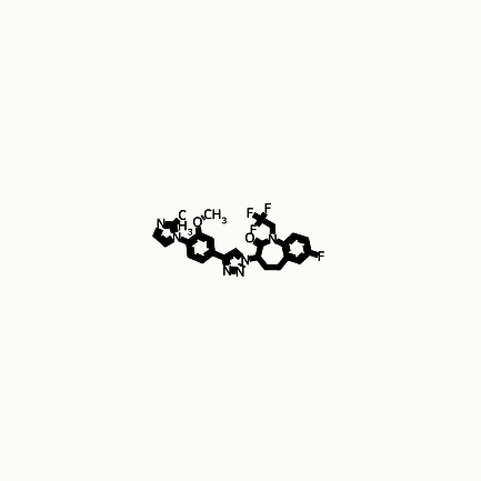 COc1cc(-c2cn(C3CCc4cc(F)ccc4N(CC(F)(F)F)C3=O)nn2)ccc1-n1ccnc1C